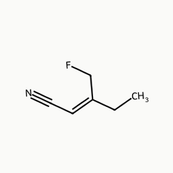 CCC(=CC#N)CF